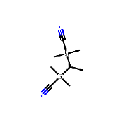 CC([Si](C)(C)C#N)[Si](C)(C)C#N